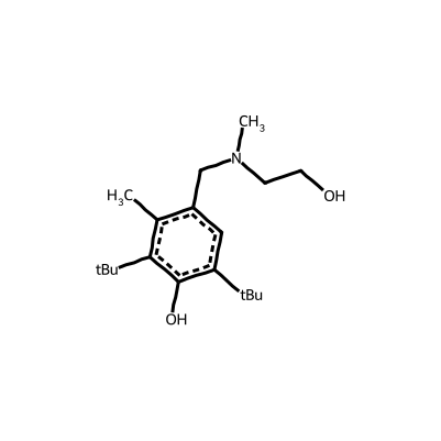 Cc1c(CN(C)CCO)cc(C(C)(C)C)c(O)c1C(C)(C)C